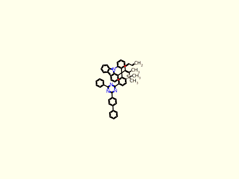 C=C/C=C\C1=C(C)[Si](C)(C)c2ccc(-c3nc(-c4ccccc4)nc(-c4ccc(-c5ccccc5)cc4)n3)cc2C12c1ccccc1-n1c3ccccc3c3cccc2c31